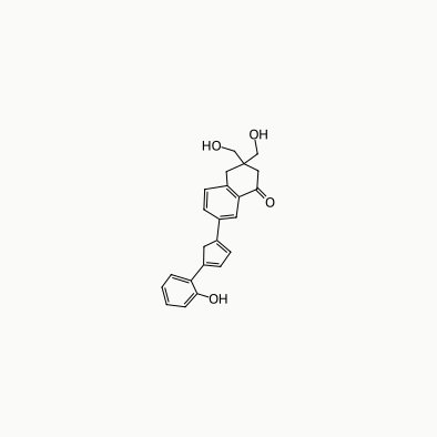 O=C1CC(CO)(CO)Cc2ccc(C3=CC=C(c4ccccc4O)C3)cc21